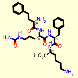 NCCCC[C@H](NC(=O)[C@H](Cc1ccccc1)NC(=O)[C@H](CCCNC(N)=O)NC(=O)[C@@H](N)CCc1ccccc1)C(=O)O